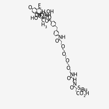 CCC(C)SC(CC(=O)O)C(=O)NCCC(=O)NCCOCCOCCOCCOCCC(=O)Nc1cccc(Cc2ccc([C@@H]3O[C@@H]4CC5[C@@H]6C[C@H](F)C7=CC(=O)C=C[C@]7(C)[C@@]6(F)[C@@H](O)C[C@]5(C)[C@]4(C(=O)CO)O3)cc2)c1